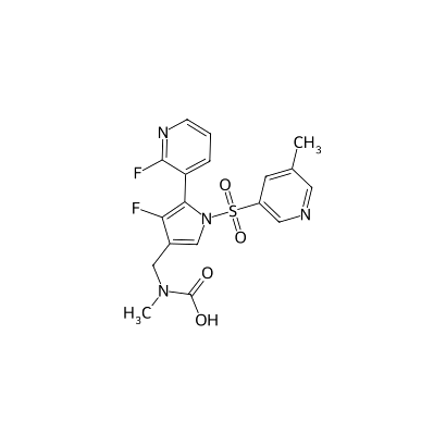 Cc1cncc(S(=O)(=O)n2cc(CN(C)C(=O)O)c(F)c2-c2cccnc2F)c1